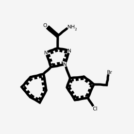 NC(=O)c1nc(-c2ccccc2)n(-c2ccc(Cl)c(CBr)c2)n1